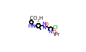 Cc1cc(N[C@H]2CC[C@@H](C(=O)O)C2)ccc1-c1noc(-c2cnc(OC(C)C)c(Cl)c2)n1